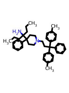 CCCC(N)(CCC)C1(c2ccccc2)CCN(CCC(c2ccccc2)(c2ccc(C)cc2)c2ccc(C)cc2)CC1